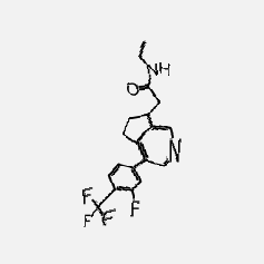 CCNC(=O)CC1CCc2c(-c3ccc(C(F)(F)F)c(F)c3)cncc21